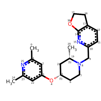 Cc1cc(O[C@H]2CCN(Cc3ccc4c(n3)OCC4)[C@@H](C)C2)cc(C)n1